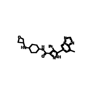 Cc1cc(-c2[nH]nc(C(=O)NC3CCC(NC4COC4)CC3)c2C(C)C)cn2ncnc12